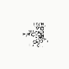 CCOC(=O)C(Cc1ccc(S)cc1)n1c(C)nc2c(Oc3cccc(C(=O)N(C)C)c3)nc(Oc3cc(C(=N)N)ccc3C)nc21